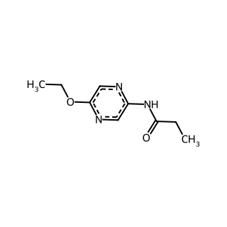 CCOc1cnc(NC(=O)CC)cn1